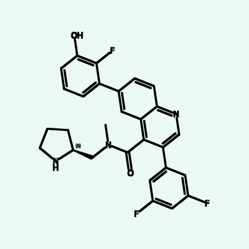 CN(C[C@@H]1CCCN1)C(=O)c1c(-c2cc(F)cc(F)c2)cnc2ccc(-c3cccc(O)c3F)cc12